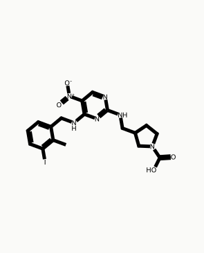 Cc1c(I)cccc1CNc1nc(NCC2CCN(C(=O)O)C2)ncc1[N+](=O)[O-]